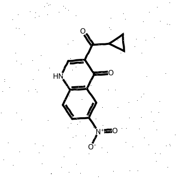 O=C(c1c[nH]c2ccc([N+](=O)[O-])cc2c1=O)C1CC1